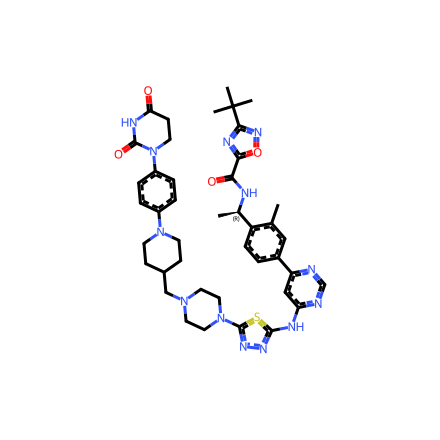 Cc1cc(-c2cc(Nc3nnc(N4CCN(CC5CCN(c6ccc(N7CCC(=O)NC7=O)cc6)CC5)CC4)s3)ncn2)ccc1[C@@H](C)NC(=O)c1nc(C(C)(C)C)no1